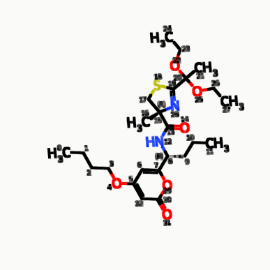 CCCCOc1cc([C@@H](CCC)NC(=O)[C@]2(C)CSC(C(C)(OCC)OCC)=N2)oc(=O)c1